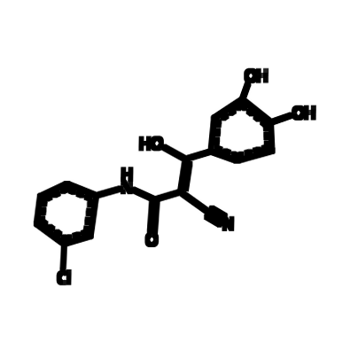 N#CC(C(=O)Nc1cccc(Cl)c1)=C(O)c1ccc(O)c(O)c1